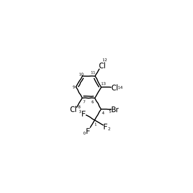 FC(F)(F)C(Br)c1c(Cl)ccc(Cl)c1Cl